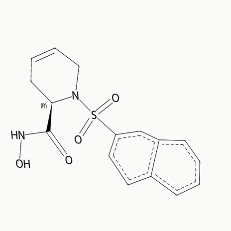 O=C(NO)[C@H]1CC=CCN1S(=O)(=O)c1ccc2ccccc2c1